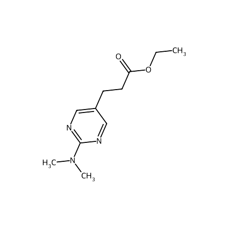 CCOC(=O)CCc1cnc(N(C)C)nc1